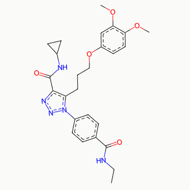 CCNC(=O)c1ccc(-n2nnc(C(=O)NC3CC3)c2CCCOc2ccc(OC)c(OC)c2)cc1